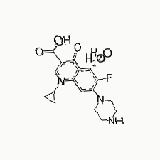 O.O.O=C(O)c1cn(C2CC2)c2cc(N3CCNCC3)c(F)cc2c1=O